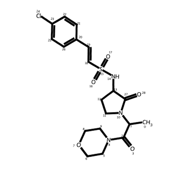 CC(C(=O)N1CCOCC1)N1CCC(NS(=O)(=O)/C=C/c2ccc(Cl)cc2)C1=O